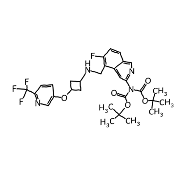 CC(C)(C)OC(=O)N(C(=O)OC(C)(C)C)c1cc2c(CNC3CC(Oc4ccc(C(F)(F)F)nc4)C3)c(F)ccc2cn1